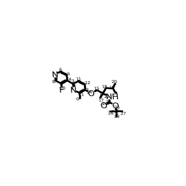 Cc1nc(-c2ccn[c]c2F)ccc1OCC(C)(CC(C)C)NC(=O)OC(C)(C)C